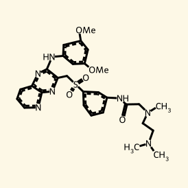 COc1cc(Nc2nc3cccnc3nc2CS(=O)(=O)c2cccc(NC(=O)CN(C)CCN(C)C)c2)cc(OC)c1